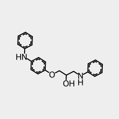 OC(CNc1ccccc1)COc1ccc(Nc2ccccc2)cc1